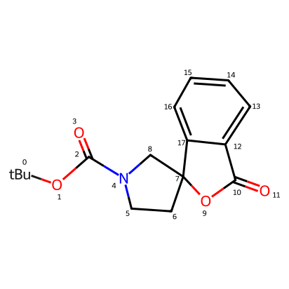 CC(C)(C)OC(=O)N1CCC2(C1)OC(=O)c1ccccc12